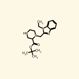 CCn1c(CN2CCNCC2C(=O)OC(C)(C)C)nc2ccccc21